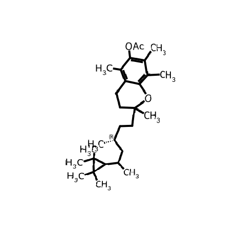 CC(=O)Oc1c(C)c(C)c2c(c1C)CCC(C)(CC[C@@H](C)CC(C)C1C(C)(C)C1(C)C)O2